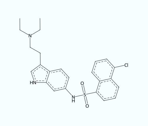 CCN(CC)CCc1c[nH]c2cc(NS(=O)(=O)c3cccc4c(Cl)cccc34)ccc12